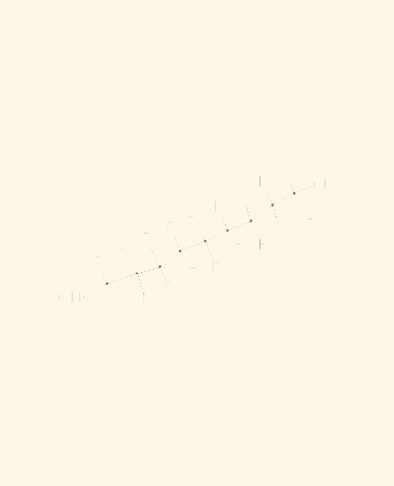 O=[C]C(F)(F)C(F)(F)C(F)(F)C(F)(F)C(F)(F)C(F)(F)C(F)(F)C(F)(F)C(F)(F)C(F)(F)F